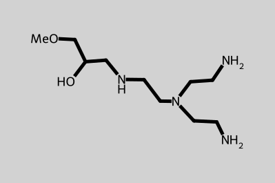 COCC(O)CNCCN(CCN)CCN